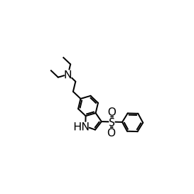 CCN(CC)CCc1ccc2c(S(=O)(=O)c3ccccc3)c[nH]c2c1